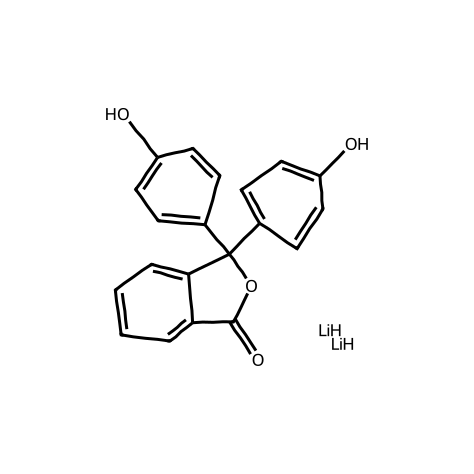 O=C1OC(c2ccc(O)cc2)(c2ccc(O)cc2)c2ccccc21.[LiH].[LiH]